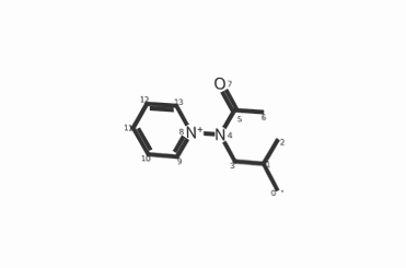 [CH2]C(C)CN(C(C)=O)[n+]1ccccc1